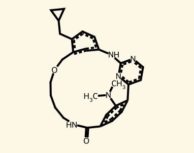 CN(C)c1cc2ccc1-c1ccnc(n1)Nc1ccc(CC3CC3)c(c1)COCCCCNC2=O